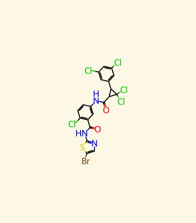 O=C(Nc1ncc(Br)s1)c1cc(NC(=O)C2C(c3cc(Cl)cc(Cl)c3)C2(Cl)Cl)ccc1Cl